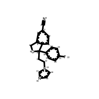 N#Cc1ccc2c(c1)COC2(CCn1ccnc1)c1ccc(F)cc1